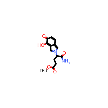 CC(C)(C)OC(=O)CCC(C(N)=O)N1C=C2C=CC(=O)C(O)=C2C1